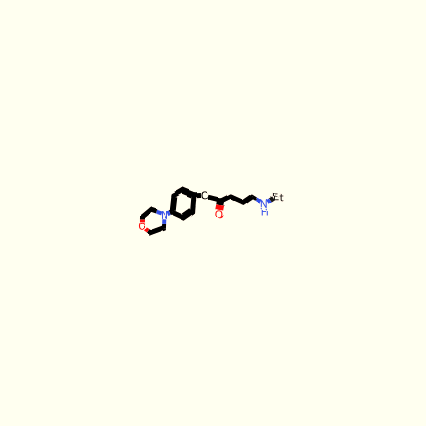 CCNCCCC(=O)Cc1ccc(N2CCOCC2)cc1